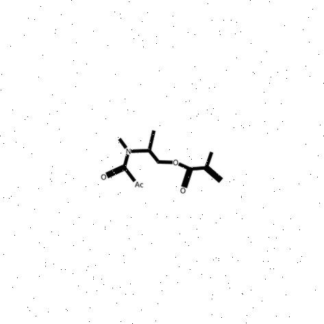 C=C(C)C(=O)OCC(C)N(C)C(=O)C(C)=O